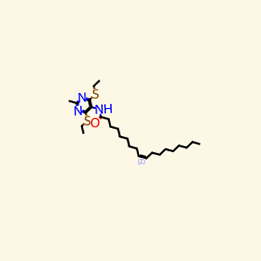 CCCCCCCC/C=C\CCCCCCCC(=O)Nc1c(SCC)nc(C)nc1SCC